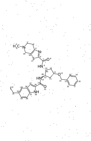 CN1CCc2nc(C(=O)N[C@@H]3CC(OCc4ccccc4)C[C@H]3NC(=O)c3cc4cc(CI)ccc4[nH]3)sc2C1